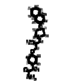 NC(=O)Nc1ccc(OC[C@@H](O)CN2CCN(c3ccc4ccccc4c3)CC2)cc1